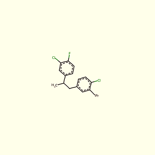 CC(C)c1cc(CC(C)c2ccc(F)c(Cl)c2)ccc1Cl